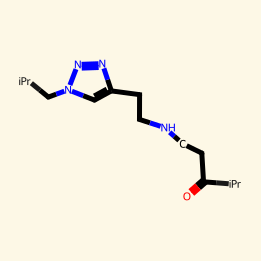 CC(C)Cn1cc(CCNCCC(=O)C(C)C)nn1